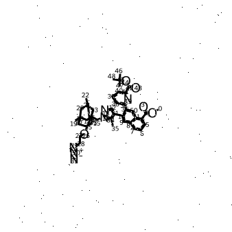 COC(=O)c1cccc2cc(-c3cnn(CC45CC6(C)CC(C)(C4)CC(OCCN=[N+]=[N-])(C6)C5)c3C)c(-c3cccc(C(=O)OC(C)(C)C)n3)cc12